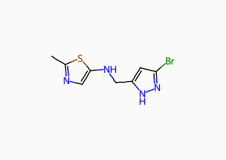 Cc1ncc(NCc2cc(Br)n[nH]2)s1